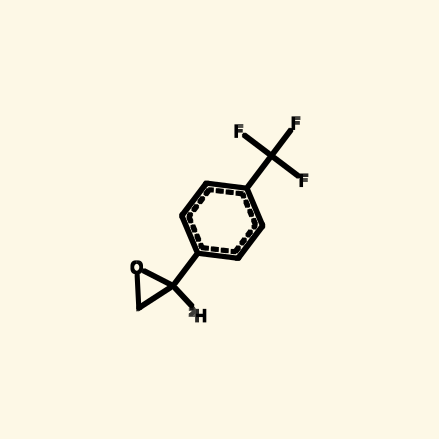 [2H]C1(c2ccc(C(F)(F)F)cc2)CO1